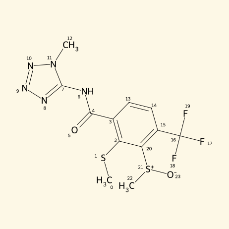 CSc1c(C(=O)Nc2nnnn2C)ccc(C(F)(F)F)c1[S+](C)[O-]